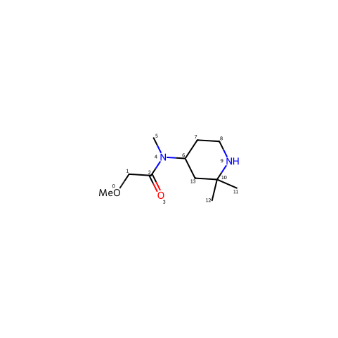 COCC(=O)N(C)C1CCNC(C)(C)C1